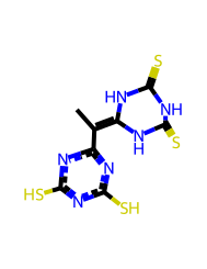 CC(=C1NC(=S)NC(=S)N1)c1nc(S)nc(S)n1